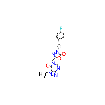 Cn1cnc2ncn(Cc3nn([C@H]4C[C@H](c5ccc(F)cc5)C4)c(=O)o3)c(=O)c21